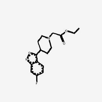 CCOC(=O)CN1CCC(c2onc3cc(F)ccc23)CC1